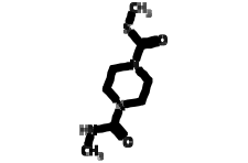 CNC(=O)N1CCN(C(=O)SC)CC1